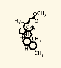 COC(=O)CC[C@@H](C)[C@H]1CC[C@H]2[C@@H]3CC[C@@H]4C[C@H](C)CC[C@]4(C)C3CC(=O)[C@]12C